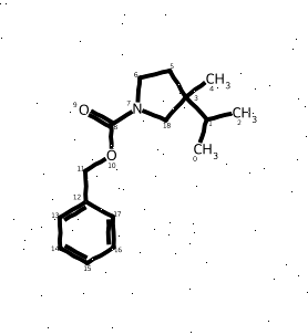 CC(C)C1(C)CCN(C(=O)OCc2ccccc2)C1